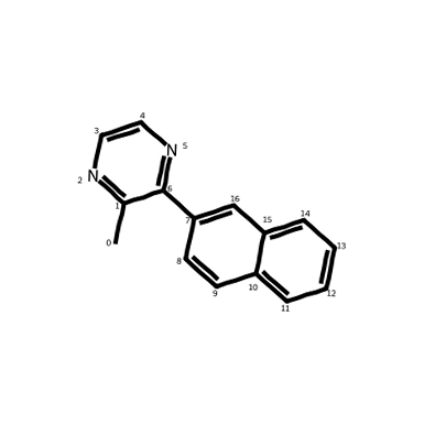 Cc1nccnc1-c1ccc2ccccc2c1